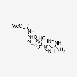 COCC(C)NCCN(C)C[C@H]1O[C@@H](N2CNC3C(N)NCNC32)[C@H](O)[C@@H]1O